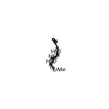 COCCOCC[N+](C)(C)CCNC(=O)c1cc(NC(=O)c2cc(NC(=O)c3ccc(/C=C/c4cnc5ccccc5c4)cc3)cn2C)cn1C